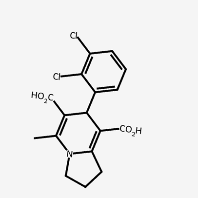 CC1=C(C(=O)O)C(c2cccc(Cl)c2Cl)C(C(=O)O)=C2CCCN12